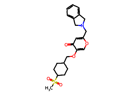 CS(=O)(=O)C1CCC(COc2coc(CN3Cc4ccccc4C3)cc2=O)CC1